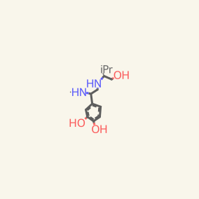 CC(C)[C@H](CO)NCC([NH])c1ccc(O)c(O)c1